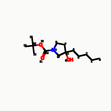 CCCCCC1(O)CCN(C(=O)OC(C)(C)C)C1